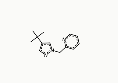 CC(C)(C)c1cnn(Cc2ccccn2)c1